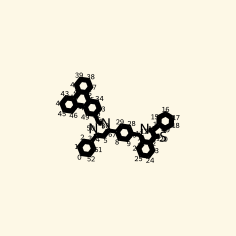 c1ccc(-c2cc(-c3ccc(-c4nc5c6ccccc6sc5c5ccccc45)cc3)nc(-c3ccc4c5ccccc5c5ccccc5c4c3)n2)cc1